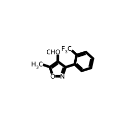 Cc1onc(-c2ccccc2C(F)(F)F)c1C=O